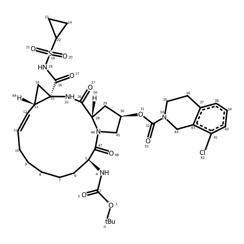 CC(C)(C)OC(=O)N[C@H]1CCCCC/C=C\[C@@H]2C[C@@]2(C(=O)NS(=O)(=O)C2CC2)NC(=O)[C@@H]2C[C@@H](OC(=O)N3CCc4cccc(Cl)c4C3)CN2C1=O